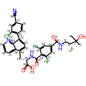 CC(C)(O)[C@H](F)CNC(=O)c1cc(F)c(C(=O)N[C@@H](Cc2ccc(-c3ccc(C#N)cc3Cl)c3ncccc23)C(=O)O)c(F)c1